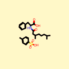 CC(C)CCCC(C)CC(=O)NC(Cc1ccccc1)C(=O)O.Cc1ccc(S(=O)(=O)O)cc1